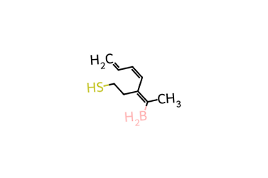 B/C(C)=C(/C=C\C=C)CCS